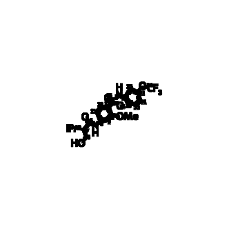 COc1cc(NC(=O)[C@@H](CO)C(C)C)ccc1S(=O)(=O)Nc1cccc(OC(F)(F)F)c1